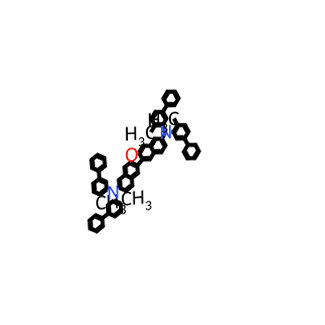 Cc1ccc(-c2ccccc2)cc1N(c1ccc2cc3c(cc2c1)oc1cc2cc(N(c4cc(-c5ccccc5)ccc4C)c4cc(C5C=CC=CC5)ccc4C)ccc2cc13)c1cc(-c2ccccc2)ccc1C